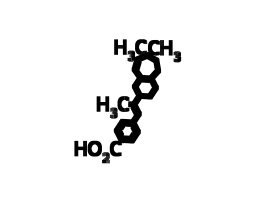 CC(=Cc1ccc(C(=O)O)cc1)C1CCC2=C(C=CC(C)(C)CC2)C1